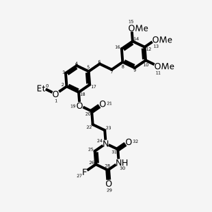 CCOc1ccc(CCc2cc(OC)c(OC)c(OC)c2)cc1OC(=O)CCn1cc(F)c(=O)[nH]c1=O